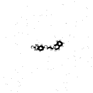 O=C1N=c2ccc(OCCCN3CCc4ccccc4C3)cc2=N1